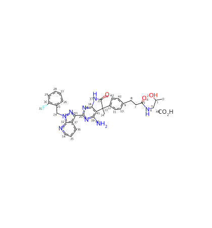 CC(O)[C@@H](NC(=O)CCc1ccc(C2(C)C(=O)Nc3nc(-c4nn(Cc5ccccc5F)c5ncccc45)nc(N)c32)cc1)C(=O)O